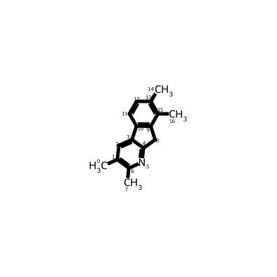 Cc1cc2c(nc1C)Cc1c-2ccc(C)c1C